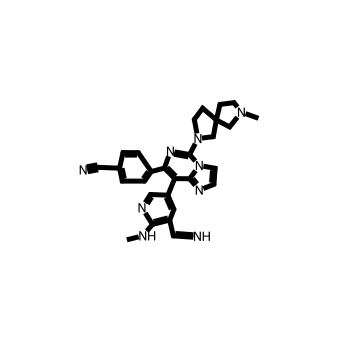 CNc1ncc(-c2c(-c3ccc(C#N)cc3)nc(N3CCC4(CCN(C)C4)C3)n3ccnc23)cc1C=N